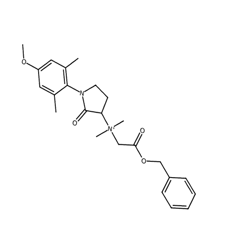 COc1cc(C)c(N2CCC([N+](C)(C)CC(=O)OCc3ccccc3)C2=O)c(C)c1